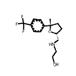 C[C@@]1(c2ccc(C(F)(F)F)cc2)CC[C@H](CNCCO)O1